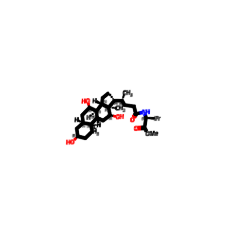 COC(=O)[C@@H](NC(=O)CC[C@@H](C)[C@H]1CC[C@H]2[C@@H]3[C@H](O)C[C@@H]4C[C@H](O)CC[C@]4(C)[C@H]3C[C@H](O)[C@]12C)C(C)C